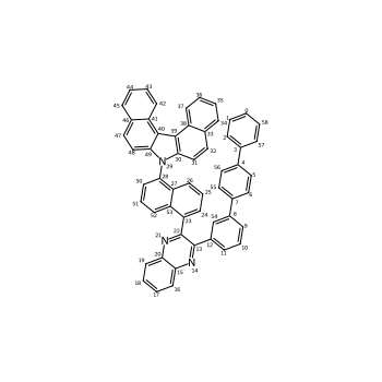 c1ccc(-c2ccc(-c3cccc(-c4nc5ccccc5nc4-c4cccc5c(-n6c7ccc8ccccc8c7c7c8ccccc8ccc76)cccc45)c3)cc2)cc1